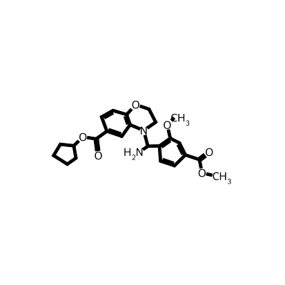 COC(=O)c1ccc(C(N)N2CCOc3ccc(C(=O)OC4CCCC4)cc32)c(OC)c1